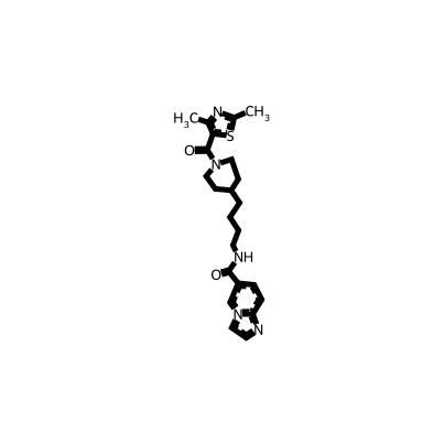 Cc1nc(C)c(C(=O)N2CCC(CCCCNC(=O)c3ccc4nccn4c3)CC2)s1